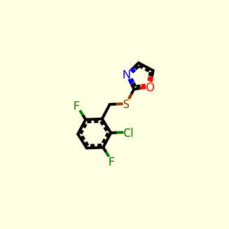 Fc1ccc(F)c(CSc2ncco2)c1Cl